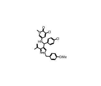 C=C(C)c1nn(Cc2ccc(OC)cc2)cc1C(Nc1cc(Cl)c(=O)n(C)c1)c1ccc(Cl)cc1